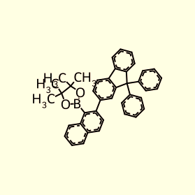 CC1(C)OB(c2c(-c3ccc4c(c3)C(c3ccccc3)(c3ccccc3)c3ccccc3-4)ccc3ccccc23)OC1(C)C